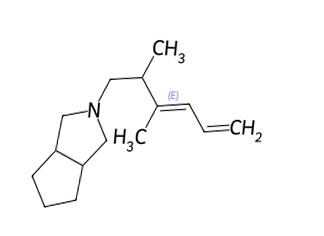 C=C/C=C(\C)C(C)CN1CC2CCCC2C1